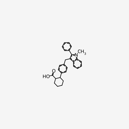 Cn1c(-c2ccccc2)c(Cc2ccc(C3CCCCC3C(=O)O)cc2)c2ccccc21